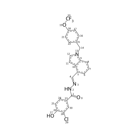 O=C(N/N=C/c1cccc2c1ccn2Cc1ccc(OC(F)(F)F)cc1)c1ccc(O)c(Cl)c1